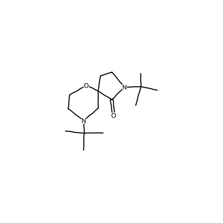 CC(C)(C)N1CCOC2(CCN(C(C)(C)C)C2=O)C1